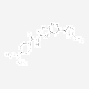 Cc1ncc(-c2ccc3cnc(NC(=O)N4CCC(N(C)C)CC4)nc3c2)s1